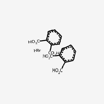 Br.O=C(O)c1ccccc1C(=O)O.O=C(O)c1ccccc1C(=O)O